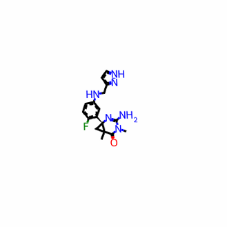 CN1C(=O)C2(C)C[C@]2(c2cc(NCc3cc[nH]n3)ccc2F)N=C1N